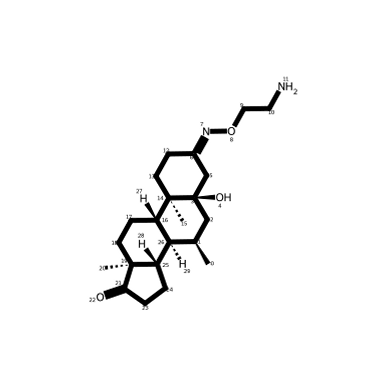 C[C@@H]1C[C@@]2(O)C/C(=N\OCCN)CC[C@]2(C)[C@H]2CC[C@]3(C)C(=O)CC[C@H]3[C@H]12